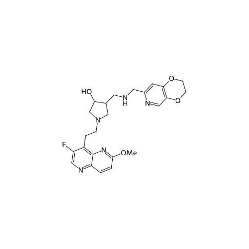 COc1ccc2ncc(F)c(CCN3CC(O)C(CNCc4cc5c(cn4)OCCO5)C3)c2n1